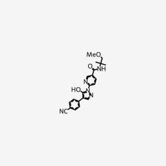 COCC(C)(C)NC(=O)c1ccc(-n2ncc(-c3ccc(C#N)cc3)c2O)nc1